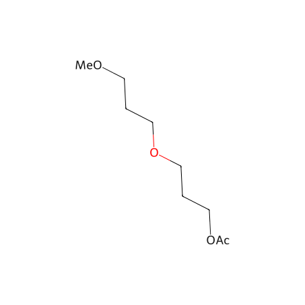 COCCCOCCCOC(C)=O